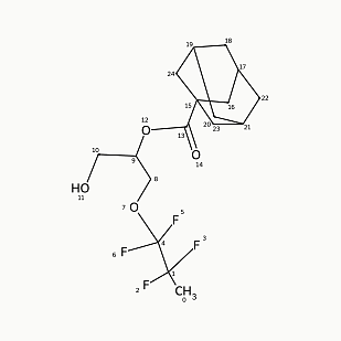 CC(F)(F)C(F)(F)OCC(CO)OC(=O)C12CC3CC(CC(C3)C1)C2